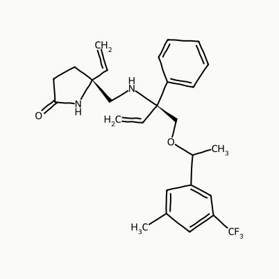 C=C[C@@]1(CN[C@](C=C)(COC(C)c2cc(C)cc(C(F)(F)F)c2)c2ccccc2)CCC(=O)N1